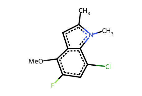 COc1c(F)cc(Cl)c2c1cc(C)n2C